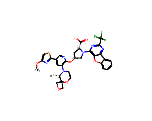 COc1csc(-c2cnc(O[C@H]3C[C@@H](C(=O)O)N(c4nc(C(F)(F)F)nc5c4oc4ccccc45)C3)c(N3CCOC4(COC4)[C@@H]3C)c2)n1